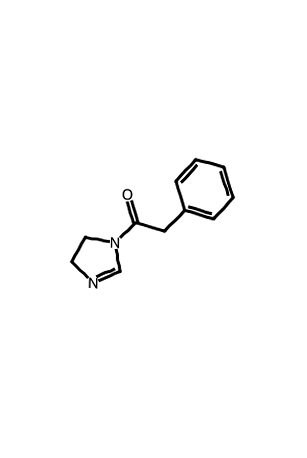 O=C(Cc1ccccc1)N1C=NCC1